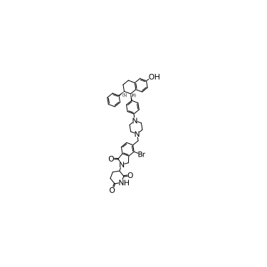 O=C1CCC(N2Cc3c(ccc(CN4CCN(c5ccc([C@@H]6c7ccc(O)cc7CC[C@@H]6c6ccccc6)cc5)CC4)c3Br)C2=O)C(=O)N1